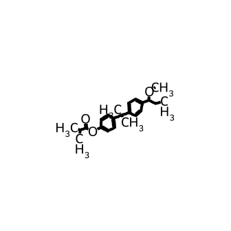 CCC(OC)c1ccc(C(C)(C)c2ccc(OC(=O)C(C)C)cc2)cc1